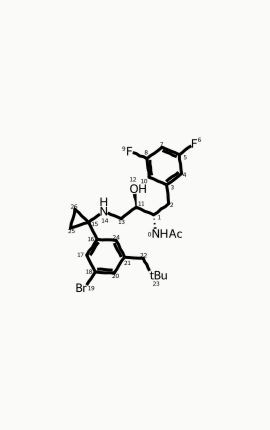 CC(=O)N[C@@H](Cc1cc(F)cc(F)c1)[C@H](O)CNC1(c2cc(Br)cc(CC(C)(C)C)c2)CC1